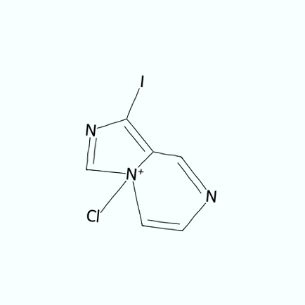 Cl[N+]12C=CN=CC1=C(I)N=C2